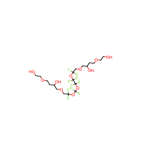 OCCOCCC(O)COCC(F)(F)OC(F)(F)OC(F)(F)C(F)(F)OC(F)(F)COCC(O)CCOCCO